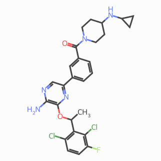 CC(Oc1nc(-c2cccc(C(=O)N3CCC(NC4CC4)CC3)c2)cnc1N)c1c(Cl)ccc(F)c1Cl